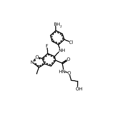 Bc1ccc(Nc2c(C(=O)NOCCO)cc3c(C)noc3c2F)c(Cl)c1